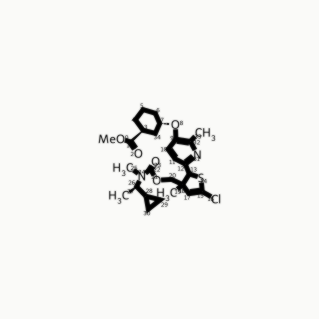 COC(=O)[C@H]1CCC[C@H](Oc2ccc(C3SC(Cl)=CC3(C)COC(=O)N(C)[C@H](C)C3CC3)nc2C)C1